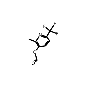 Cc1nc(C(F)(F)F)ccc1OC=O